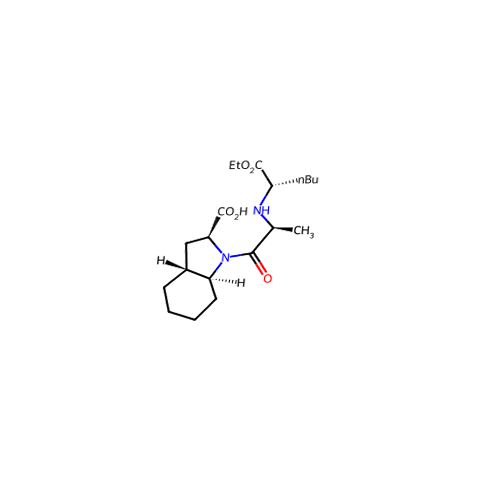 CCCC[C@H](N[C@@H](C)C(=O)N1[C@H](C(=O)O)C[C@H]2CCCC[C@@H]21)C(=O)OCC